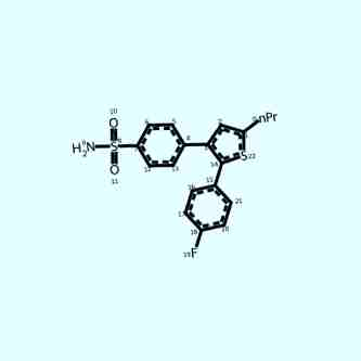 CCCc1cc(-c2ccc(S(N)(=O)=O)cc2)c(-c2ccc(F)cc2)s1